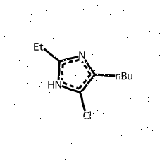 CCCCc1nc(CC)[nH]c1Cl